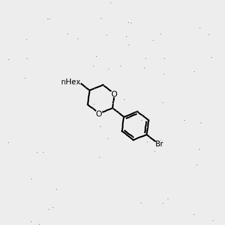 CCCCCCC1COC(c2ccc(Br)cc2)OC1